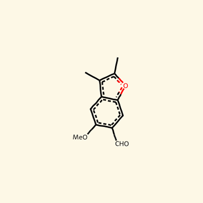 COc1cc2c(C)c(C)oc2cc1C=O